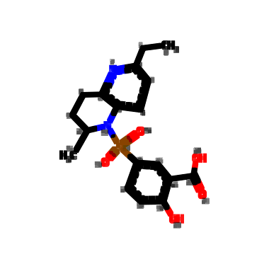 CCc1ccc2c(n1)CCC(C)N2S(=O)(=O)c1ccc(O)c(C(=O)O)c1